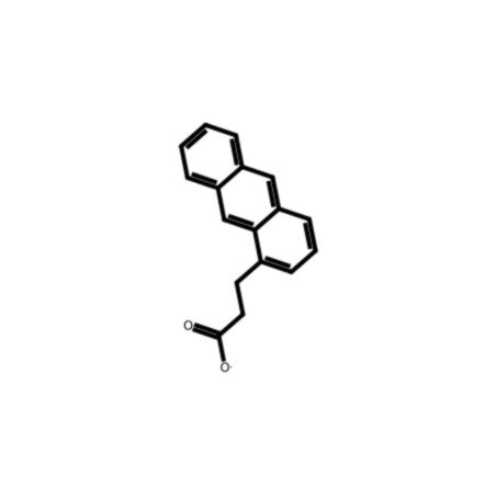 [O]C(=O)CCc1cccc2cc3ccccc3cc12